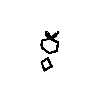 C1CCC1.O=S1(=O)CCCCC1